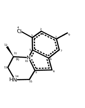 Cc1cc(Cl)c2c(c1)cc1n2[C@H](C)CNC1